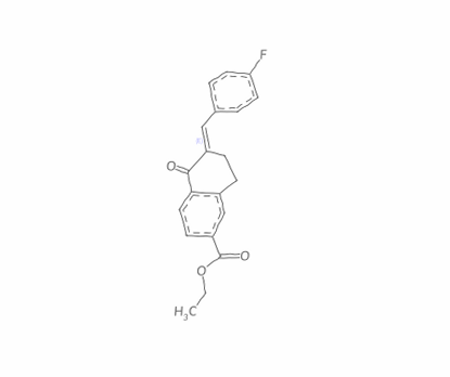 CCOC(=O)c1ccc2c(c1)CC/C(=C\c1ccc(F)cc1)C2=O